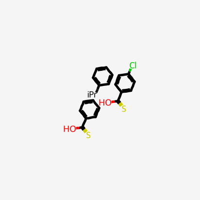 CC(C)c1ccccc1.OC(=S)c1ccc(Cl)cc1.OC(=S)c1ccccc1